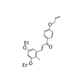 C=CCOc1ccc(C(=O)C=Cc2cc(OCC)cc(OCC)c2C)cc1